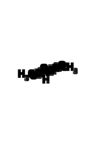 COc1ccc(C(=O)Nc2ccc(N3CC(OC)C3)cc2)cc1